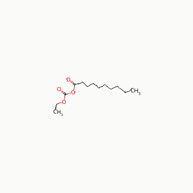 CCCCCCCCCC(=O)OC(=O)OCC